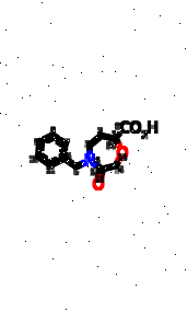 O=C(O)[C@@H]1CCN(Cc2ccccc2)C(=O)CO1